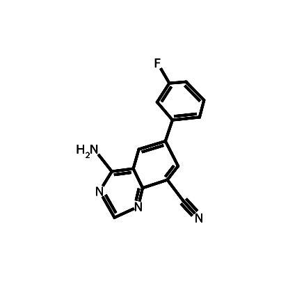 N#Cc1cc(-c2cccc(F)c2)cc2c(N)ncnc12